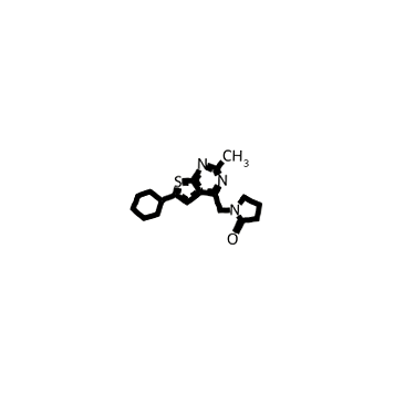 Cc1nc(CN2CCCC2=O)c2cc(C3CCCCC3)sc2n1